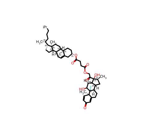 CC(C)CCC[C@@H](C)[C@H]1CC[C@H]2C3CC=C4C[C@@H](OC(=O)CCC(=O)OCC(=O)[C@]5(O)[C@@H](C)C[C@@H]6[C@H]7CCC8=CC(=O)C=C[C@@]8(C)[C@]7(F)C(O)C[C@]65C)CC[C@]4(C)[C@H]3CC[C@]12C